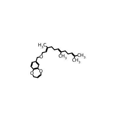 CC(C)=CCC/C(C)=C/CC/C(C)=C/COCc1ccc2c(c1)OC=CCO2